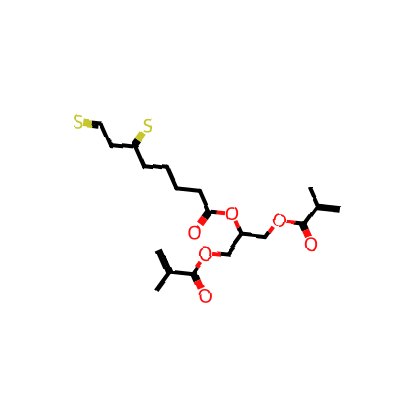 C=C(C)C(=O)OCC(COC(=O)C(=C)C)OC(=O)CCCCC(=S)CC=S